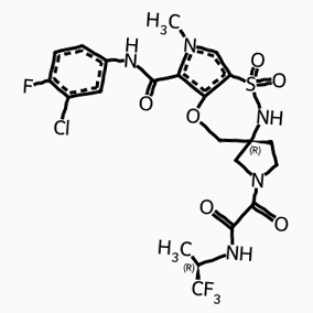 C[C@@H](NC(=O)C(=O)N1CC[C@]2(COc3c(cn(C)c3C(=O)Nc3ccc(F)c(Cl)c3)S(=O)(=O)N2)C1)C(F)(F)F